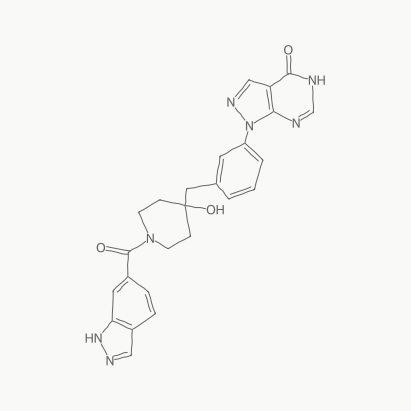 O=C(c1ccc2cn[nH]c2c1)N1CCC(O)(Cc2cccc(-n3ncc4c(=O)[nH]cnc43)c2)CC1